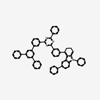 C1=c2c(c3cc(-c4ccccc4)ccc3n2-c2ccccc2)=C(c2cccc(-c3nc(-c4ccccc4)nc(-c4cccc(-c5cc(-c6ccccc6)cc(-c6ccccc6)c5)c4)n3)c2)CC1